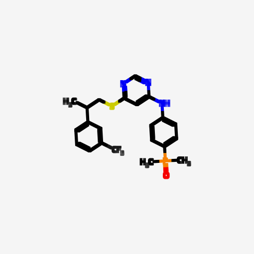 CC(CSc1cc(Nc2ccc(P(C)(C)=O)cc2)ncn1)c1cccc(C(F)(F)F)c1